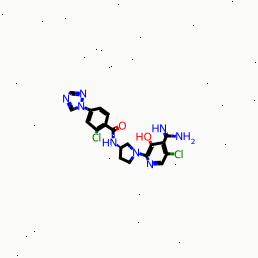 N=C(N)c1c(Cl)cnc(N2CC[C@@H](NC(=O)c3ccc(-n4cncn4)cc3Cl)C2)c1O